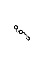 C(=Cc1ccc(Oc2ccccc2)cc1)Cn1ccnc1